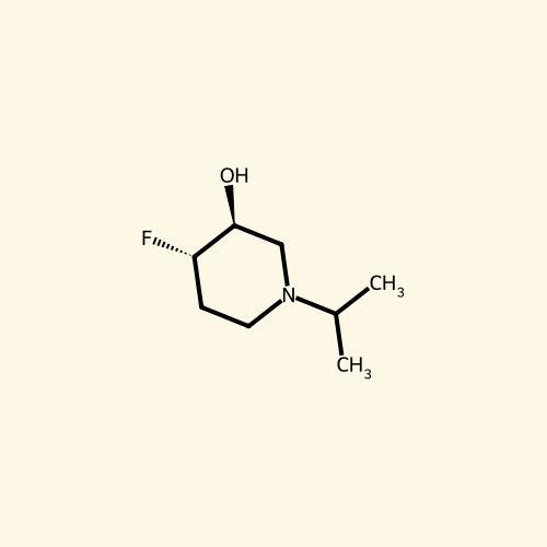 CC(C)N1CC[C@H](F)[C@@H](O)C1